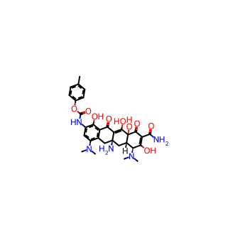 Cc1ccc(OC(=O)Nc2cc(N(C)C)c3c(c2O)C(=O)C2=C(O)[C@]4(O)C(=O)C(C(N)=O)=C(O)[C@@H](N(C)C)[C@@H]4C[C@]2(N)C3)cc1